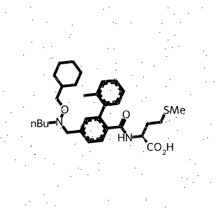 CCCCN(Cc1ccc(C(=O)N[C@@H](CCSC)C(=O)O)c(-c2ccccc2C)c1)OCC1CCCCC1